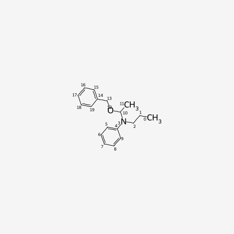 CCCN(c1ccccc1)C(C)OCc1ccccc1